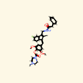 COc1cc(/C=C2/C(C)=C(CNC(=O)Cc3ccccc3)c3cc(F)ccc32)cc(OC)c1OC(=O)N1CCN(C)CC1